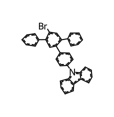 Brc1cc(-c2ccccc2)c(-c2ccc(-n3c4ccccc4c4ccccc43)cc2)cc1-c1ccccc1